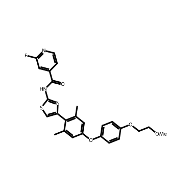 COCCOc1ccc(Oc2cc(C)c(-c3csc(NC(=O)c4ccnc(F)c4)n3)c(C)c2)cc1